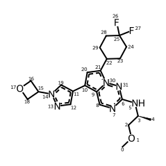 COC[C@H](C)Nc1ncc2c(-c3cnn(C4COC4)c3)cc(C3CCC(F)(F)CC3)n2n1